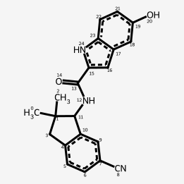 CC1(C)Cc2ccc(C#N)cc2C1NC(=O)c1cc2cc(O)ccc2[nH]1